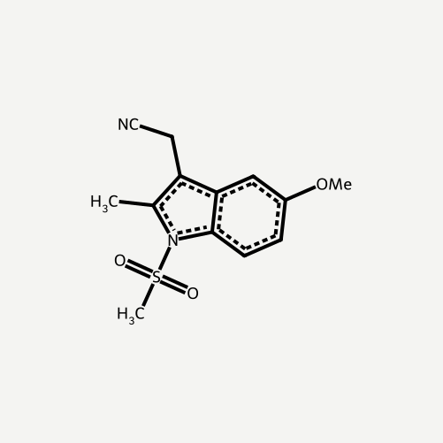 COc1ccc2c(c1)c(CC#N)c(C)n2S(C)(=O)=O